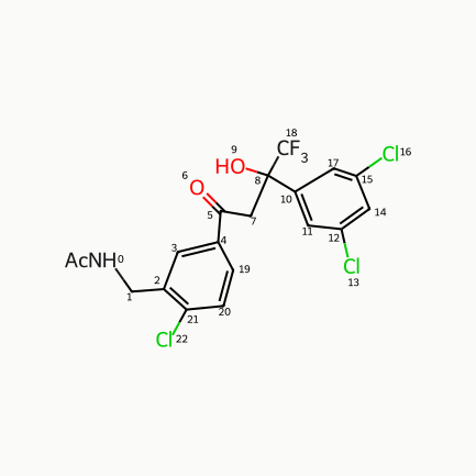 CC(=O)NCc1cc(C(=O)CC(O)(c2cc(Cl)cc(Cl)c2)C(F)(F)F)ccc1Cl